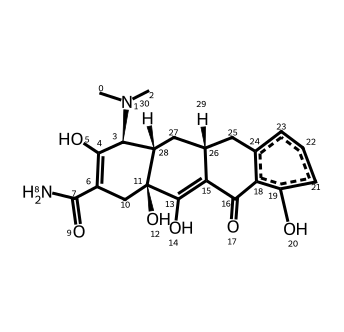 CN(C)[C@@H]1C(O)=C(C(N)=O)C[C@@]2(O)C(O)=C3C(=O)c4c(O)cccc4C[C@H]3C[C@@H]12